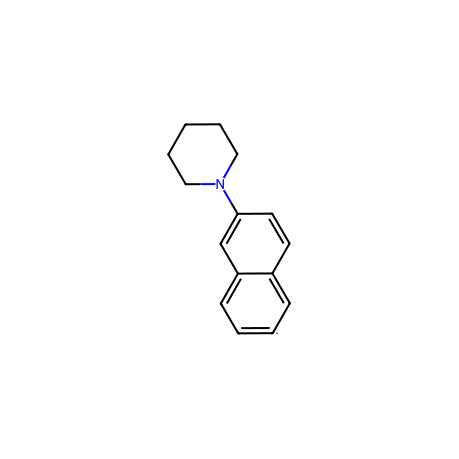 [c]1ccc2cc(N3CCCCC3)ccc2c1